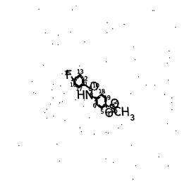 CS(=O)(=O)c1ccc(NC(=O)c2ccc(F)cc2)cc1